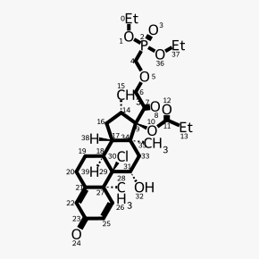 CCOP(=O)(COCC(=O)[C@@]1(OC(=O)CC)[C@@H](C)C[C@H]2[C@@H]3CCC4=CC(=O)C=C[C@]4(C)[C@@]3(Cl)[C@@H](O)C[C@@]21C)OCC